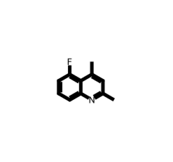 Cc1cc(C)c2c(F)cccc2n1